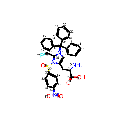 N[C@@H](CC1=CN(C(c2ccccc2)(c2ccccc2)c2ccccc2)C(CF)N1[S+]([O-])c1ccc([N+](=O)[O-])cc1)C(=O)O